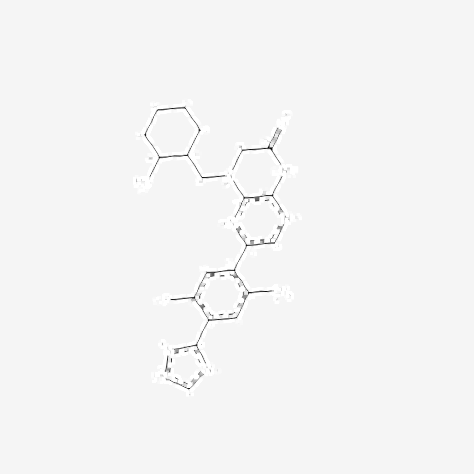 Cc1cc(-c2nc[nH]n2)c(F)cc1-c1cnc2c(n1)N(CC1CCCCC1O)CC(=O)N2